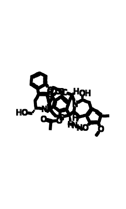 COc1c(C)cc2c(c1O)[C@H](N(C)C)[C@@H]1[C@@H]3SCC[C@]4(N[C@H](CO)Cc5c4oc4ccccc54)C(=O)OC[C@@H](c4c5c(c(C)c(OC(C)=O)c43)OCO5)N1[C@@H](O)C2